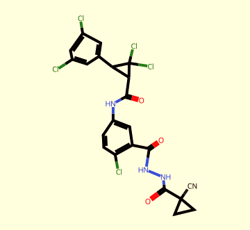 N#CC1(C(=O)NNC(=O)c2cc(NC(=O)C3C(c4cc(Cl)cc(Cl)c4)C3(Cl)Cl)ccc2Cl)CC1